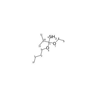 CCCCOC([SiH3])(OCC)[C](C)C